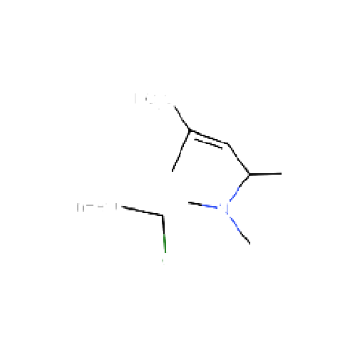 CC(=CC(C)N(C)C)C(=O)O.CCCCCCCCCl